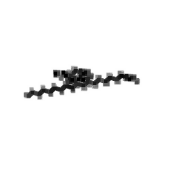 CCCCCCCCCCCCCCCCCCN.N=C=O.NCCN